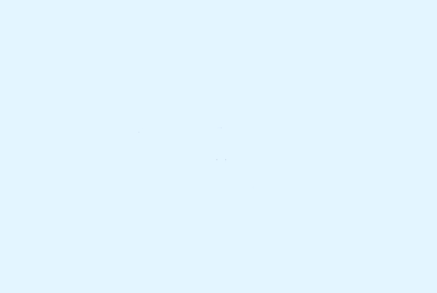 CCCC(=O)OCC.[InH3]